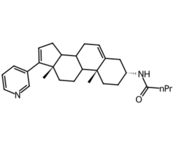 CCCC(=O)N[C@@H]1CC[C@@]2(C)C(=CCC3C2CC[C@]2(C)C(c4cccnc4)=CCC32)C1